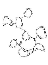 c1ccc(-c2cc(-c3ccccc3)cc(-c3cc4cc(c3)N(c3ccccc3)c3cccc5c3oc3c(cccc35)N4c3ccccc3)c2)cc1